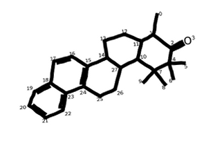 CC1C(=O)C(C)(C)C(C)(C)C2C1CCC1c3ccc4ccccc4c3CCC12